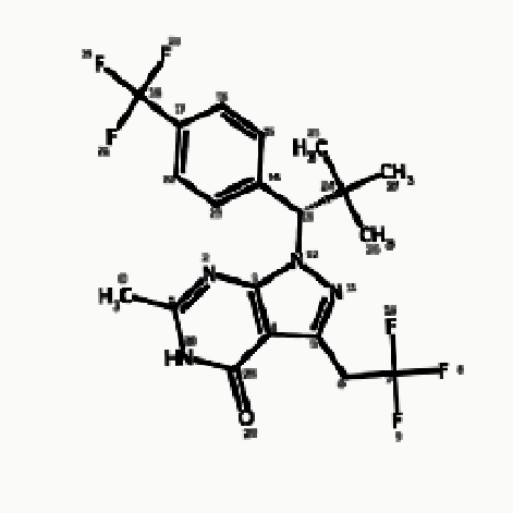 Cc1nc2c(c(CC(F)(F)F)nn2[C@H](c2ccc(C(F)(F)F)cc2)C(C)(C)C)c(=O)[nH]1